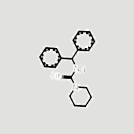 N=C(NC(c1ccccc1)c1ccccc1)N1CCCCC1